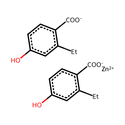 CCc1cc(O)ccc1C(=O)[O-].CCc1cc(O)ccc1C(=O)[O-].[Zn+2]